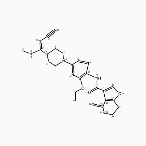 CCOc1nc(N2CCN(/C(=N\C#N)NC)CC2)ccc1NC(=O)c1coc2c1C(=O)NCC2